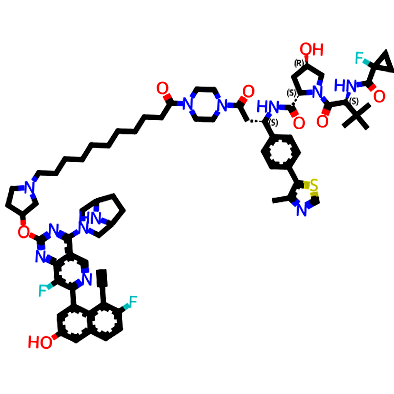 C#Cc1c(F)ccc2cc(O)cc(-c3ncc4c(N5CC6CCC(C5)N6)nc(OC5CCN(CCCCCCCCCCC(=O)N6CCN(C(=O)C[C@H](NC(=O)[C@@H]7C[C@@H](O)CN7C(=O)[C@@H](NC(=O)C7(F)CC7)C(C)(C)C)c7ccc(-c8scnc8C)cc7)CC6)C5)nc4c3F)c12